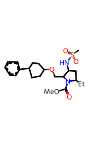 CCC1CC(NS(C)(=O)=O)C(COC2CCC(c3ccccc3)CC2)N1C(=O)OC